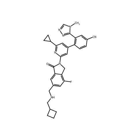 Cn1cnnc1-c1cc(C#N)ccc1-c1cc(C2CC2)nc(N2Cc3c(F)cc(CNCC4CCC4)cc3C2=O)c1